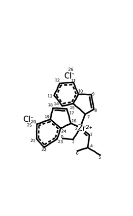 C[CH2][Zr+2](=[CH]C(C)C)([CH]1C=Cc2ccccc21)[CH]1C=Cc2ccccc21.[Cl-].[Cl-]